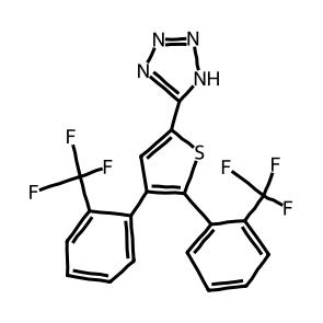 FC(F)(F)c1ccccc1-c1cc(-c2nnn[nH]2)sc1-c1ccccc1C(F)(F)F